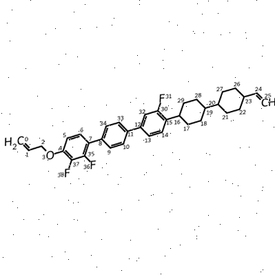 C=CCOc1ccc(-c2ccc(-c3ccc(C4CCC(C5CCC(C=C)CC5)CC4)c(F)c3)cc2)c(F)c1F